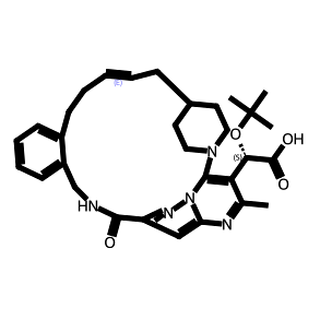 Cc1nc2cc3nn2c(c1[C@H](OC(C)(C)C)C(=O)O)N1CCC(C/C=C/CCc2ccccc2CNC3=O)CC1